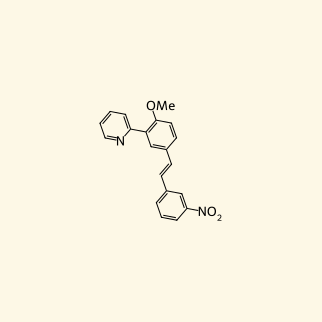 COc1ccc(/C=C/c2cccc([N+](=O)[O-])c2)cc1-c1ccccn1